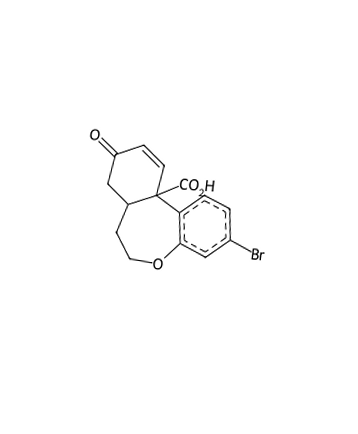 O=C1C=CC2(C(=O)O)c3ccc(Br)cc3OCCC2C1